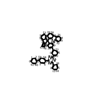 c1ccc(-c2ccc(-c3nc(-c4ccccc4)nc(-c4cccc(-c5ccc6c(c5)-n5c7ccccc7c7cccc(c75)C65c6ccccc6-c6ccccc65)c4)n3)cc2)cc1